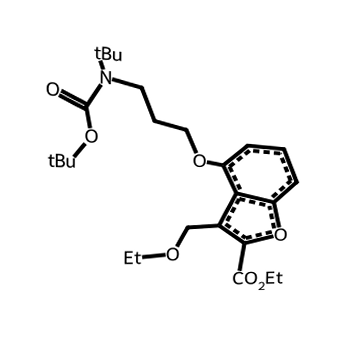 CCOCc1c(C(=O)OCC)oc2cccc(OCCCN(C(=O)OC(C)(C)C)C(C)(C)C)c12